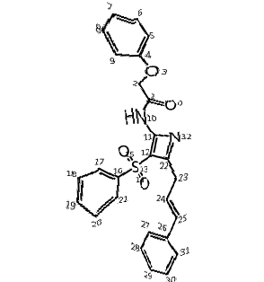 O=C(COc1ccccc1)NC1=C(S(=O)(=O)c2ccccc2)C(CC=Cc2ccccc2)=N1